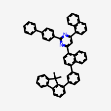 CC1(C)c2ccccc2-c2cccc(-c3cccc(-c4ccc(-c5cc(-c6cccc7ccccc67)nc(-c6ccc(-c7ccccc7)cc6)n5)c5ccccc45)c3)c21